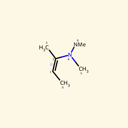 C/C=C(/C)N(C)NC